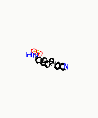 C[C@]12CC=C3C=C4CC[C@@H](NS(C)(=O)=O)C[C@]45CC[C@]3(C5)[C@@H]1CC[C@@H]2c1ccc2ccncc2c1